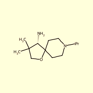 CC(C)N1CCC2(CC1)OCC(C)(C)[C@@H]2N